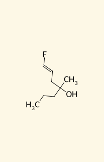 CCCC(C)(O)CC=CF